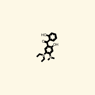 CCN(CC)c1cc(C(=O)c2ccccc2O)c(O)cc1N(C)C